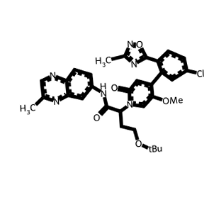 COc1cn(C(CCOC(C)(C)C)C(=O)Nc2ccc3ncc(C)nc3c2)c(=O)cc1-c1cc(Cl)ccc1-c1nc(C)no1